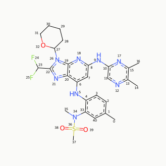 Cc1ccc(Nc2cc(Nc3cnc(C)c(C)n3)nc3c2nc(C(F)F)n3C2CCCCO2)c(N(C)S(C)(=O)=O)c1